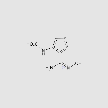 N/C(=N/O)c1cscc1NC(=O)O